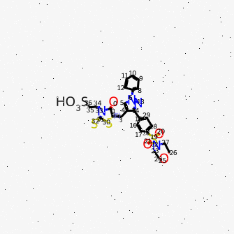 O=C1/C(=C\c2cn(-c3ccccc3)nc2-c2ccc(S(=O)(=O)N3CCOCC3)cc2)SC(=S)N1CCS(=O)(=O)O